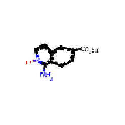 CCOC(=O)c1ccc2c(N)[n+]([O-])ccc2c1